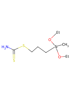 CCO[Si](C)(CCCSC(N)=S)OCC